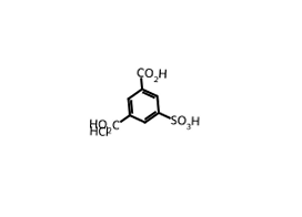 Cl.O=C(O)c1cc(C(=O)O)cc(S(=O)(=O)O)c1